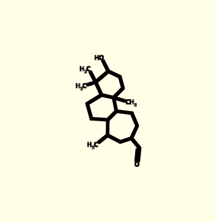 CC1CC(C=O)CCC2C1CCC1C(C)(C)C(O)CCC21C